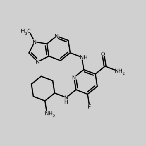 Cn1cnc2cc(Nc3nc(NC4CCCCC4N)c(F)cc3C(N)=O)cnc21